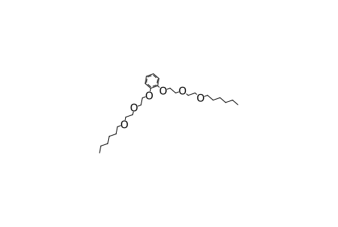 CCCCCCOCCOCCOc1ccccc1OCCOCCOCCCCCC